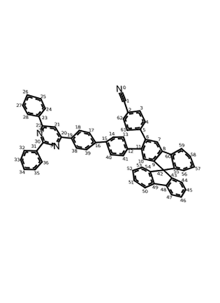 N#Cc1ccc(-c2cc3c(cc2-c2ccc(-c4ccc(-c5cc(-c6ccccc6)nc(-c6ccccc6)n5)cc4)cc2)C2(c4ccccc4-c4ccccc42)c2ccccc2-3)cc1